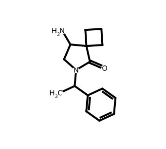 CC(c1ccccc1)N1CC(N)C2(CCC2)C1=O